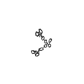 CC(C1=CC=C(c2ccc(-n3c4ccccc4c4ccccc43)cc2)CC1)(c1ccc(C2=CC=C(n3c4ccccc4c4ccccc43)CC2)cc1)c1ccccc1-c1ccccc1